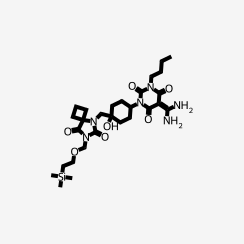 CCCCN1C(=O)C(=C(N)N)C(=O)N(C2CCC(O)(CN3C(=O)N(COCC[Si](C)(C)C)C(=O)C34CCC4)CC2)C1=O